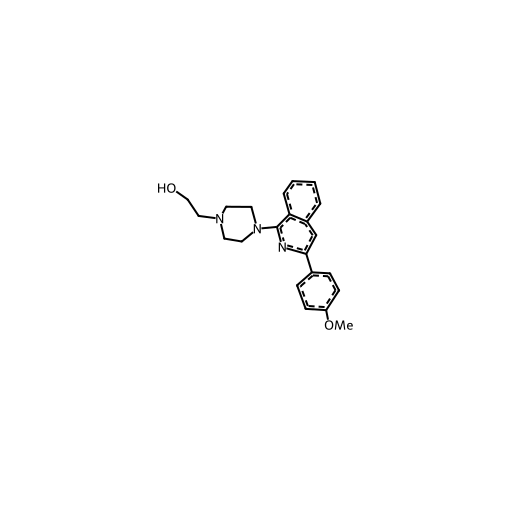 COc1ccc(-c2cc3ccccc3c(N3CCN(CCO)CC3)n2)cc1